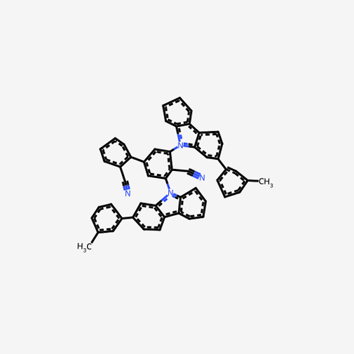 Cc1cccc(-c2ccc3c4ccccc4n(-c4cc(-c5ccccc5C#N)cc(-n5c6ccccc6c6ccc(-c7cccc(C)c7)cc65)c4C#N)c3c2)c1